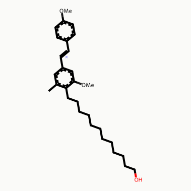 COc1ccc(/C=C/c2cc(C)c(CCCCCCCCCCCCO)c(OC)c2)cc1